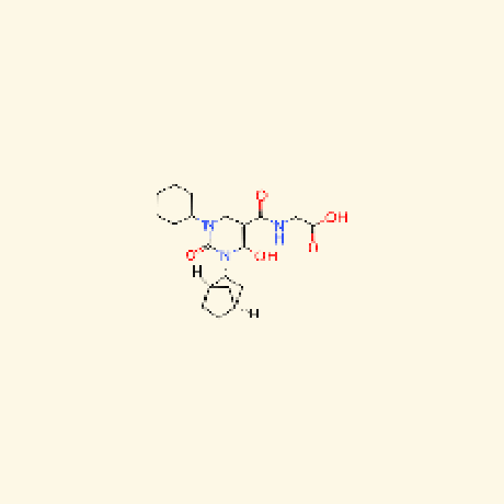 O=C(O)CNC(=O)C1=C(O)N([C@@H]2C[C@H]3CC[C@@H]2C3)C(=O)N(C2CCCCC2)C1